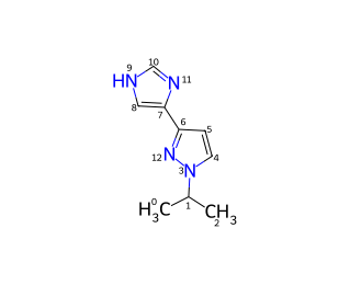 CC(C)n1ccc(-c2c[nH]cn2)n1